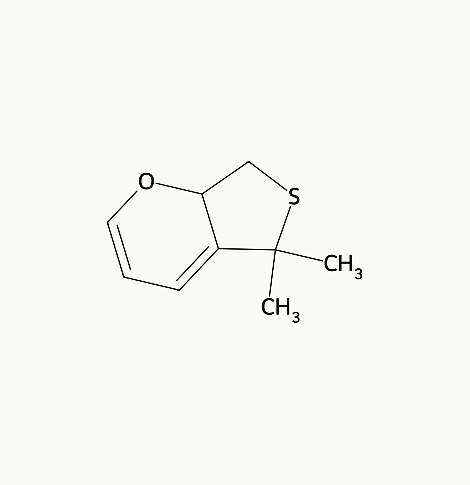 CC1(C)SCC2OC=CC=C21